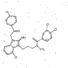 CN(CCCn1c(=N)n(CC(=O)c2ccc(Cl)cc2)c2cccc(Cl)c21)C(=O)c1ccc(Cl)c(Cl)c1